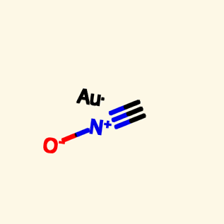 C#[N+][O-].[Au]